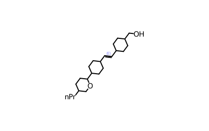 CCCC1CCC(C2CCC(/C=C/C3CCC(CO)CC3)CC2)OC1